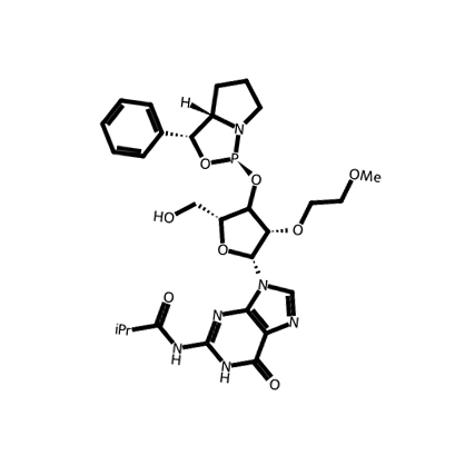 COCCO[C@H]1C(O[P@@]2O[C@H](c3ccccc3)[C@@H]3CCCN32)[C@@H](CO)O[C@H]1n1cnc2c(=O)[nH]c(NC(=O)C(C)C)nc21